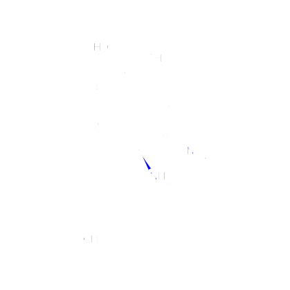 CCCC[C@@](N)(C(N)=O)C(=O)OC(C)(C)C